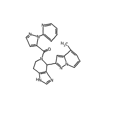 Cc1cccn2nc(C3c4nc[nH]c4CCN3C(=O)c3ccnn3-c3ccccn3)cc12